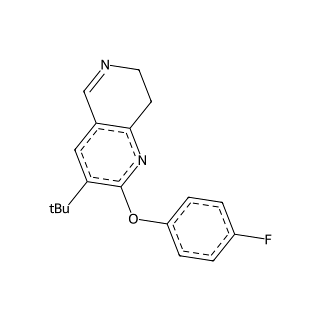 CC(C)(C)c1cc2c(nc1Oc1ccc(F)cc1)CCN=C2